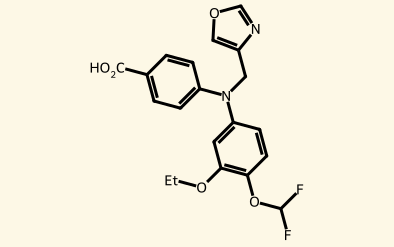 CCOc1cc(N(Cc2cocn2)c2ccc(C(=O)O)cc2)ccc1OC(F)F